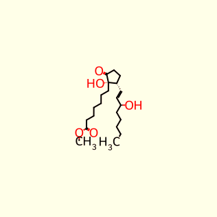 CCCCC[C@H](O)C=C[C@H]1CCC(=O)[C@]1(O)CCCCCCC(=O)OC